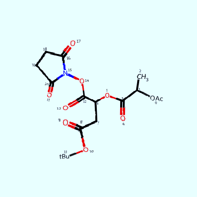 CC(=O)OC(C)C(=O)OC(CC(=O)OC(C)(C)C)C(=O)ON1C(=O)CCC1=O